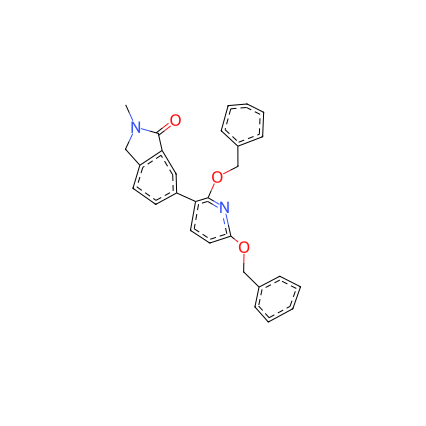 CN1Cc2ccc(-c3ccc(OCc4ccccc4)nc3OCc3ccccc3)cc2C1=O